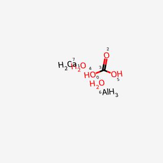 O.O.O=C(O)O.[AlH3].[CaH2]